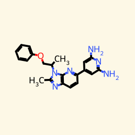 Cc1nc2ccc(-c3cc(N)nc(N)c3)nc2n1C(C)COc1ccccc1